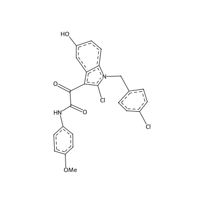 COc1ccc(NC(=O)C(=O)c2c(Cl)n(Cc3ccc(Cl)cc3)c3ccc(O)cc23)cc1